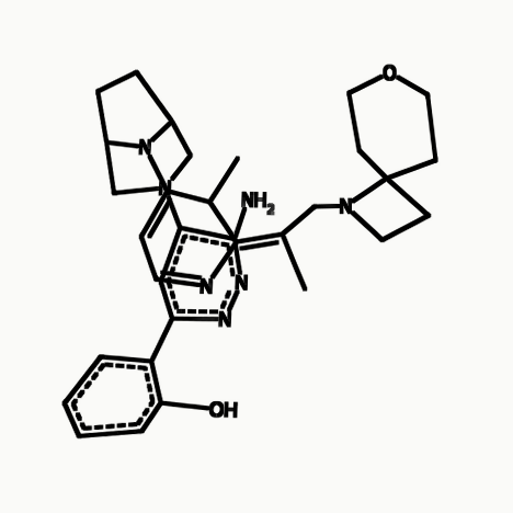 C/C(CN1CCC12CCOCC2)=C1\N=CC=C(N2C3CCC2CN(c2cc(-c4ccccc4O)nnc2N)C3)C1C